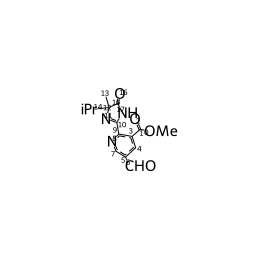 COC(=O)c1cc(C=O)cnc1C1=NC(C)(C(C)C)C(=O)N1